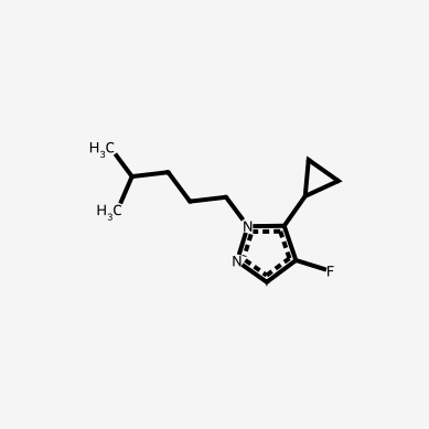 CC(C)CCCn1n[c]c(F)c1C1CC1